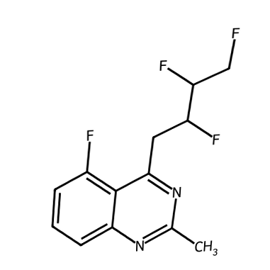 Cc1nc(CC(F)C(F)CF)c2c(F)cccc2n1